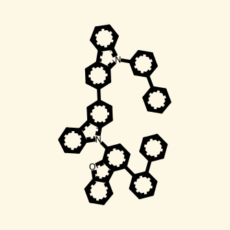 c1ccc(-c2cccc(-n3c4ccccc4c4ccc(-c5ccc6c(c5)c5ccccc5n6-c5ccc(-c6ccccc6-c6ccccc6)c6c5oc5ccccc56)cc43)c2)cc1